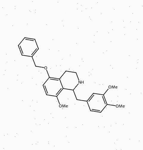 COc1ccc(CC2NCCc3c(OCc4ccccc4)ccc(OC)c32)cc1OC